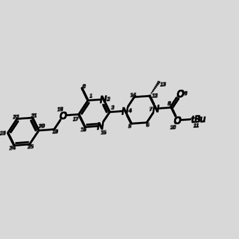 Cc1nc(N2CCN(C(=O)OC(C)(C)C)[C@@H](C)C2)ncc1OCc1ccccc1